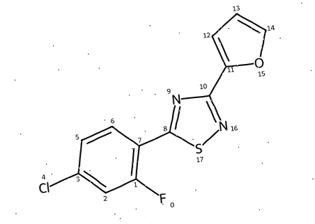 Fc1cc(Cl)ccc1-c1nc(-c2ccco2)ns1